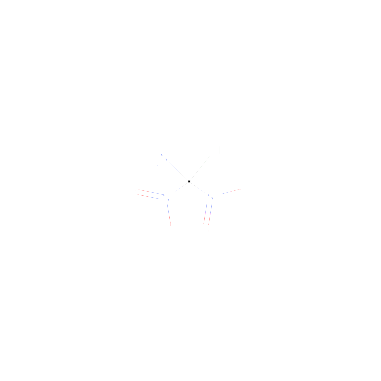 NC(Cl)([N+](=O)[O-])[N+](=O)[O-]